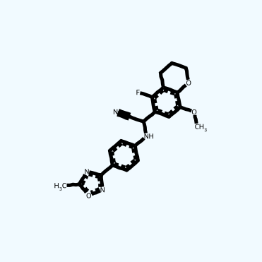 COc1cc(C(C#N)Nc2ccc(-c3noc(C)n3)cc2)c(F)c2c1OCCC2